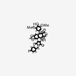 COc1cc([C@@H]2c3cc4c(cc3[C@@H](NC3=CC(=O)N(Cc5ccc(F)cc5)C3=O)[C@H]3COC(=O)[C@H]23)OCO4)cc(OC)c1O